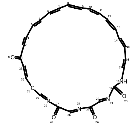 O=C1C=CC=CC=CC=CC=CC=CC=CC=CNC(=O)N=CC(=O)N=CC(=O)N=CCC=C1